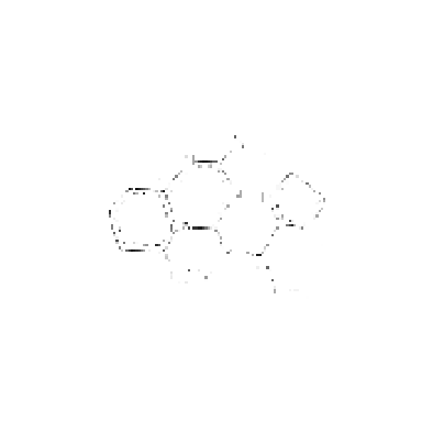 COc1cccc2nc(N)nc(N[C@H](C)c3nccs3)c12